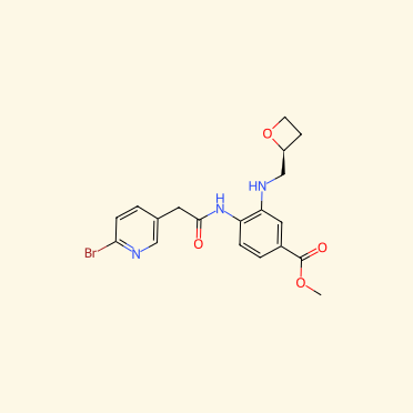 COC(=O)c1ccc(NC(=O)Cc2ccc(Br)nc2)c(NC[C@@H]2CCO2)c1